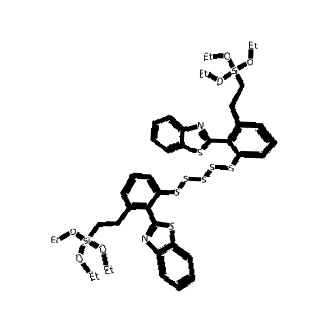 CCO[Si](CCc1cccc(SSSSSc2cccc(CC[Si](OCC)(OCC)OCC)c2-c2nc3ccccc3s2)c1-c1nc2ccccc2s1)(OCC)OCC